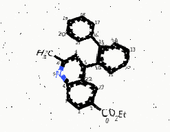 CCOC(=O)c1ccc2nc(C)cc(-c3ccccc3-c3ccccc3)c2c1